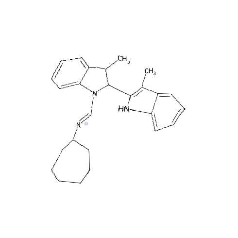 Cc1c(C2C(C)c3ccccc3N2/C=N/C2CCCCCC2)[nH]c2ccccc12